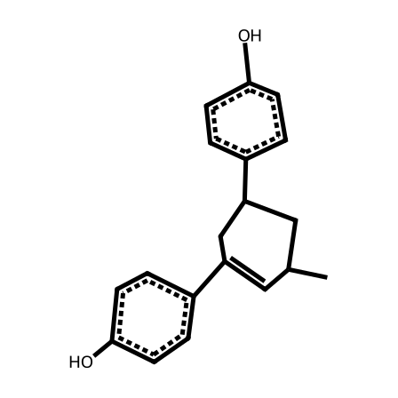 CC1C=C(c2ccc(O)cc2)CC(c2ccc(O)cc2)C1